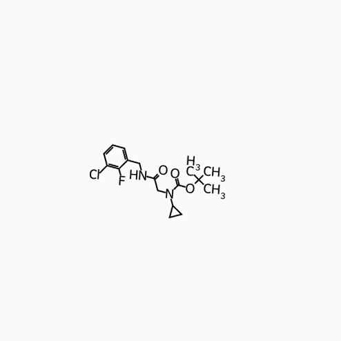 CC(C)(C)OC(=O)N(CC(=O)NCc1cccc(Cl)c1F)C1CC1